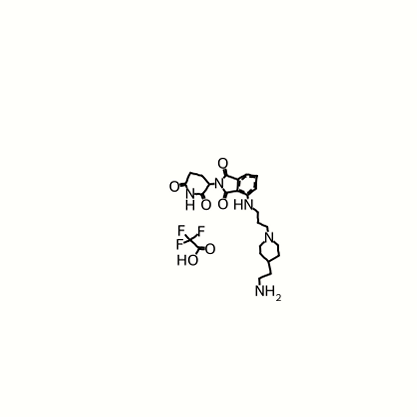 NCCC1CCN(CCCNc2cccc3c2C(=O)N(C2CCC(=O)NC2=O)C3=O)CC1.O=C(O)C(F)(F)F